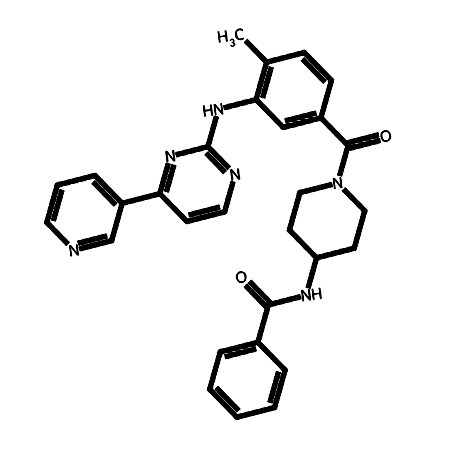 Cc1ccc(C(=O)N2CCC(NC(=O)c3ccccc3)CC2)cc1Nc1nccc(-c2cccnc2)n1